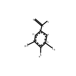 C=C(C)c1cc(I)c(I)c(I)c1